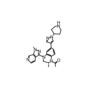 CC(=O)N1c2ccc(-c3cnn(C4CCNCC4)c3)cc2N(c2nn(C)c3cnccc23)C[C@@H]1C